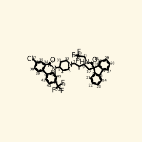 O=C(NC1CCN(CCCCC2(C(=O)NCC(F)(F)F)c3ccccc3-c3ccccc32)CC1)c1cc(Cl)ccc1-c1ccc(C(F)(F)F)cc1